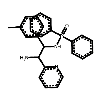 Cc1cccc(C(NP(=O)(c2ccccc2)c2ccccc2)C(N)c2ccccn2)c1